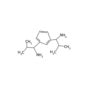 CC(C)C(N)c1[c]c(C(N)C(C)C)ccc1